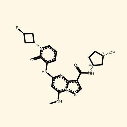 CNc1cc(Nc2cccn([C@H]3C[C@H](F)C3)c2=O)nc2c(C(=O)N[C@@H]3CC[C@H](O)C3)cnn12